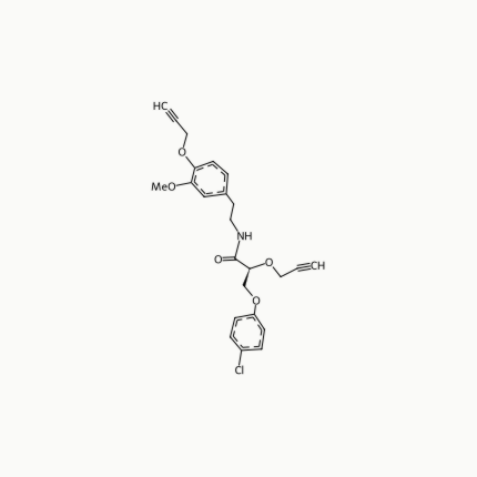 C#CCOc1ccc(CCNC(=O)[C@H](COc2ccc(Cl)cc2)OCC#C)cc1OC